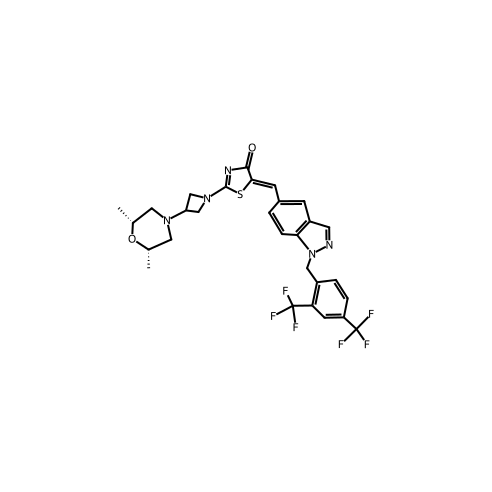 C[C@@H]1CN(C2CN(C3=NC(=O)/C(=C/c4ccc5c(cnn5Cc5ccc(C(F)(F)F)cc5C(F)(F)F)c4)S3)C2)C[C@H](C)O1